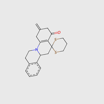 C=C1CC(=O)C2=C(C1)N1CCc3ccccc3C1CC21SCCCS1